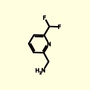 NCc1cccc(C(F)F)n1